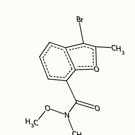 CON(C)C(=O)c1cccc2c(Br)c(C)oc12